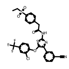 CCS(=O)(=O)c1ccc(CC(=O)Nc2nc(-c3cccc(C#N)c3)c(Oc3ccc(C(F)(F)F)cc3Cl)s2)cc1